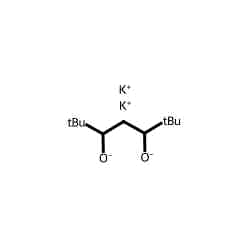 CC(C)(C)C([O-])CC([O-])C(C)(C)C.[K+].[K+]